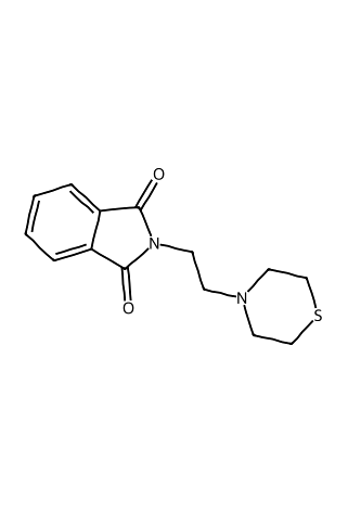 O=C1c2ccccc2C(=O)N1CCN1CCSCC1